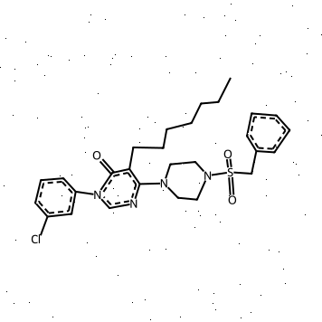 CCCCCCCc1c(N2CCN(S(=O)(=O)Cc3ccccc3)CC2)ncn(-c2cccc(Cl)c2)c1=O